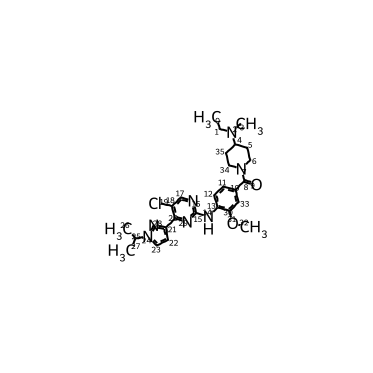 CCN(C)C1CCN(C(=O)c2ccc(Nc3ncc(Cl)c(-c4ccn(C(C)C)n4)n3)c(OC)c2)CC1